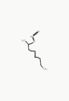 CCCCCCC(C)[O][Sn]=[O]